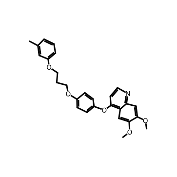 COc1cc2nccc(Oc3ccc(OCCCOc4cccc(C)c4)cc3)c2cc1OC